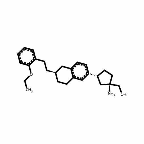 CCOc1ccccc1CC[C@@H]1CCc2cc([C@@H]3CC[C@](N)(CO)C3)ccc2C1